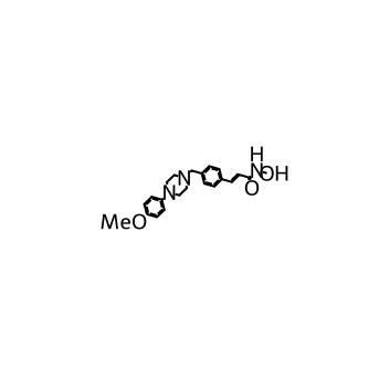 COc1ccc(N2CCN(Cc3ccc(/C=C/C(=O)NO)cc3)CC2)cc1